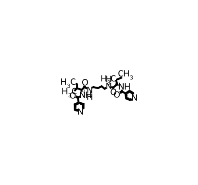 CCC(C)[C@H](NC(=O)c1ccncc1)C(=O)NCCCCNC(=O)[C@@H](NC(=O)c1ccncc1)C(C)CC